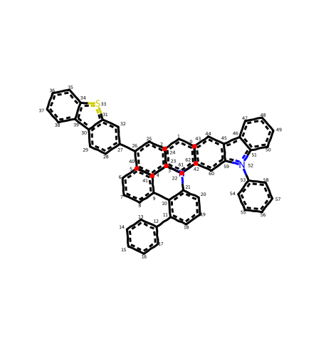 c1ccc(-c2ccccc2-c2c(-c3ccccc3)cccc2N(c2ccc(-c3ccc4c(c3)sc3ccccc34)cc2)c2ccc3c4ccccc4n(-c4ccccc4)c3c2)cc1